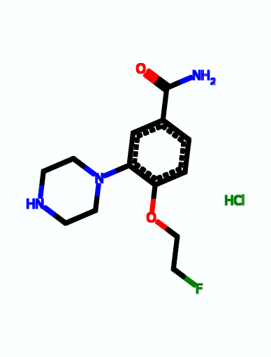 Cl.NC(=O)c1ccc(OCCF)c(N2CCNCC2)c1